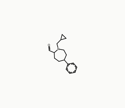 O=CC1CCC(c2ccccc2)CCN1CC1CC1